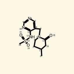 CC1CCN(Cc2cncnc2NS(C)(=O)=O)C(=O)C1